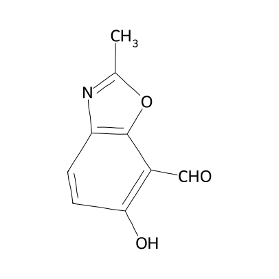 Cc1nc2ccc(O)c(C=O)c2o1